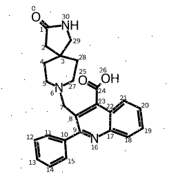 O=C1CC2(CCN(Cc3c(-c4ccccc4)nc4ccccc4c3C(=O)O)CC2)CN1